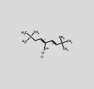 C[Si](C)(C)/C=C/[C]([Zr+2])=C/C[Si](C)(C)C.[Cl-].[Cl-]